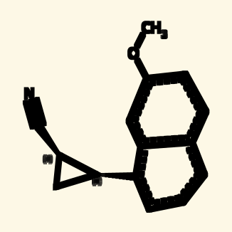 COc1ccc2cccc([C@@H]3C[C@H]3C#N)c2c1